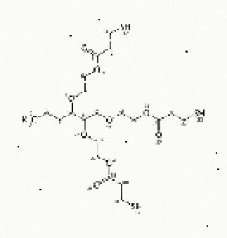 CCCC(OCCOC(=O)CCS)C(COCCOC(=O)CCS)OCCOC(=O)CCS